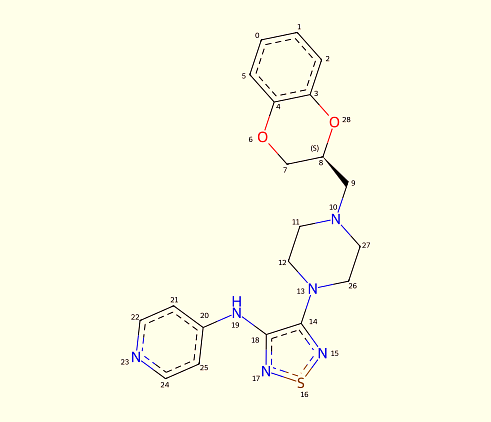 c1ccc2c(c1)OC[C@H](CN1CCN(c3nsnc3Nc3ccncc3)CC1)O2